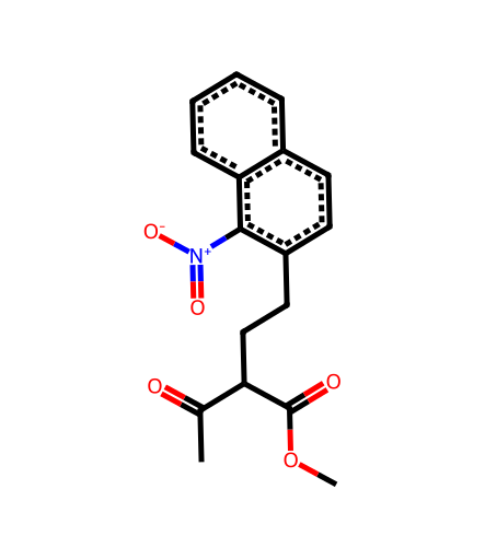 COC(=O)C(CCc1ccc2ccccc2c1[N+](=O)[O-])C(C)=O